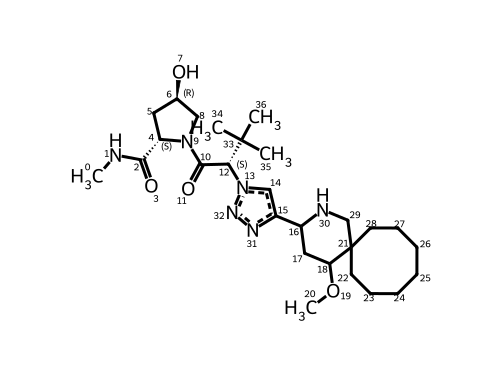 CNC(=O)[C@@H]1C[C@@H](O)CN1C(=O)[C@@H](n1cc(C2CC(OC)C3(CCCCCCC3)CN2)nn1)C(C)(C)C